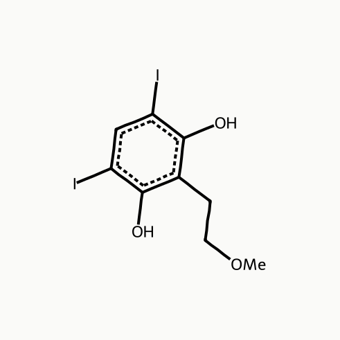 COCCc1c(O)c(I)cc(I)c1O